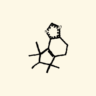 CC1C(C)(C)C2=C(c3ncoc3CC2)C1(C)C